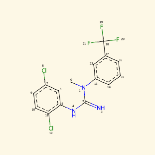 CN(C(=N)Nc1cc(Cl)ccc1Cl)c1cccc(C(F)(F)F)c1